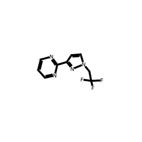 FC(F)(F)Cn1ccc(-c2n[c]ccn2)n1